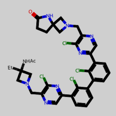 CCC1(NC(C)=O)CN(Cc2ncc(-c3cccc(-c4cccc(-c5cnc(CN6CC7(CCC(=O)N7)C6)c(Cl)n5)c4Cl)c3Cl)nc2Cl)C1